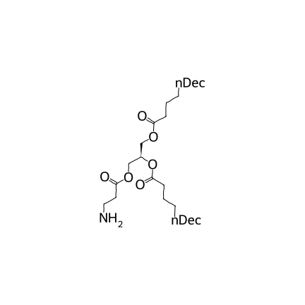 CCCCCCCCCCCCCC(=O)OC[C@H](COC(=O)CCN)OC(=O)CCCCCCCCCCCCC